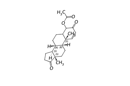 CC(=O)OC1C(=O)C=C[C@@]2(C)C1CC[C@@H]1[C@H]2CC[C@]2(C)C(=O)CC[C@@H]12